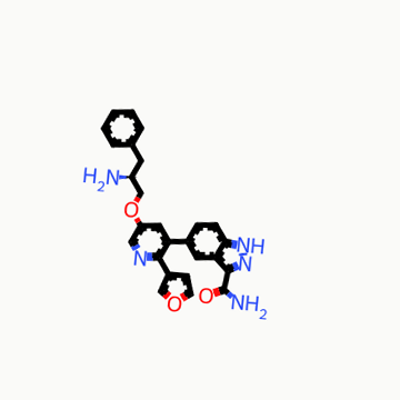 NC(=O)c1n[nH]c2ccc(-c3cc(OC[C@@H](N)Cc4ccccc4)cnc3-c3ccoc3)cc12